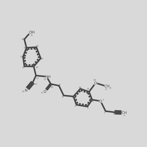 C#CCOc1ccc(CCC(=O)NC(C#N)c2ccc(CO)cc2)cc1OC